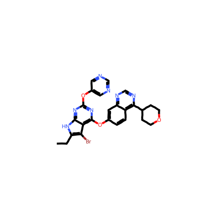 CCc1[nH]c2nc(Oc3cncnc3)nc(Oc3ccc4c(C5CCOCC5)ncnc4c3)c2c1Br